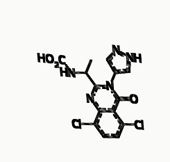 CC(NC(=O)O)c1nc2c(Cl)ccc(Cl)c2c(=O)n1-c1cn[nH]c1